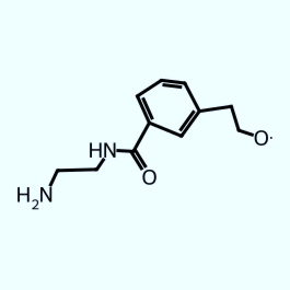 NCCNC(=O)c1cccc(CC[O])c1